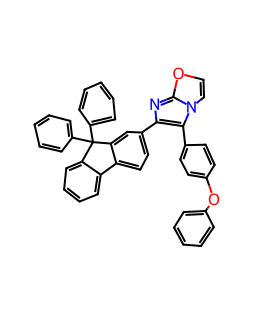 c1ccc(Oc2ccc(-c3c(-c4ccc5c(c4)C(c4ccccc4)(c4ccccc4)c4ccccc4-5)nc4occn34)cc2)cc1